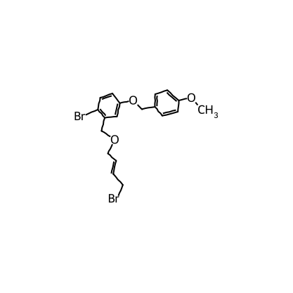 COc1ccc(COc2ccc(Br)c(COCC=CCBr)c2)cc1